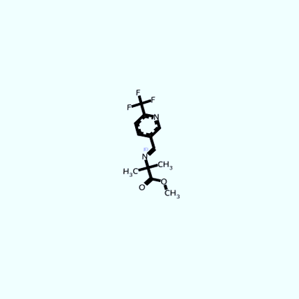 COC(=O)C(C)(C)/N=C/c1ccc(C(F)(F)F)nc1